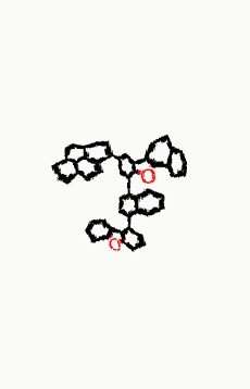 c1ccc2c(c1)ccc1c3cc(-c4ccc5ccc6cccc7ccc4c5c67)cc(-c4ccc(-c5cccc6oc7ccccc7c56)c5ccccc45)c3oc21